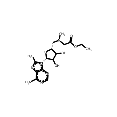 CCOC(=O)CN(C)C[C@H]1O[C@@H](n2c(C)nc3c(N)ncnc32)C(O)C1O